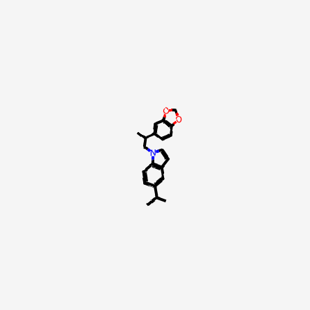 CC(C)c1ccc2c(ccn2CC(C)c2ccc3c(c2)OCO3)c1